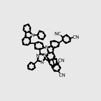 N#Cc1ccc(-c2ccc3c(c2)c2cc(-c4ccc(C#N)cc4C#N)ccc2n3-c2ccc(-c3cccc4c5ccccc5n(-c5ccccc5)c34)cc2-c2nc(-c3ccccc3)nc(-c3ccccc3)n2)c(C#N)c1